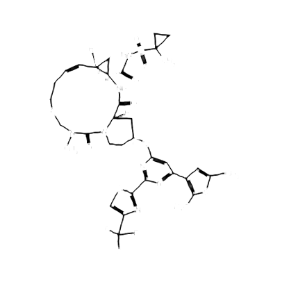 Cc1cc(-c2cc(O[C@H]3CCN4C(=O)N(C)CCCCC=C[C@@H]5C[C@@]5(C(=O)NS(=O)(=O)C5(C)CC5)NC(=O)[C@@H]4C3)nc(-c3nc(C(F)(F)F)cs3)n2)c(C)s1